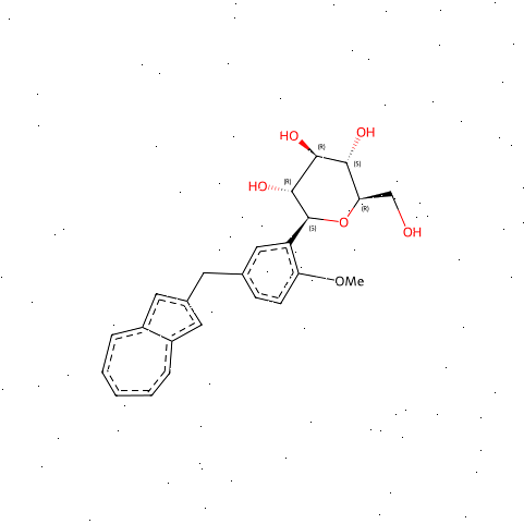 COc1ccc(Cc2cc3cccccc-3c2)cc1[C@@H]1O[C@H](CO)[C@@H](O)[C@H](O)[C@H]1O